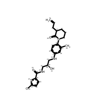 C=CCC1CCCN(c2ccc(NC[C@@H](O)CNC(=O)c3ccc(Cl)s3)cc2C)C1=O